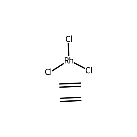 C=C.C=C.[Cl][Rh]([Cl])[Cl]